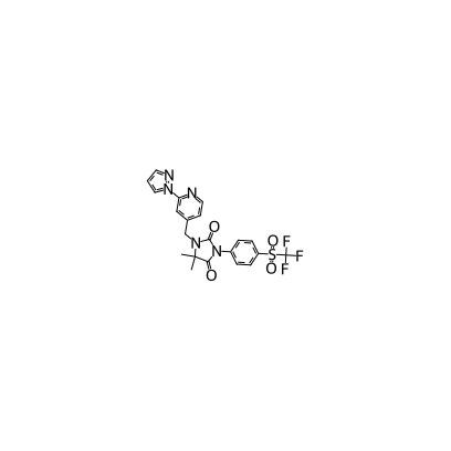 CC1(C)C(=O)N(c2ccc(S(=O)(=O)C(F)(F)F)cc2)C(=O)N1Cc1ccnc(-n2cccn2)c1